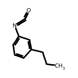 CCCc1cccc(N=C=O)c1